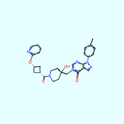 Cc1ccc(-n2ncc3c(=O)n(CC4(O)CCN(C(=O)[C@H]5C[C@@H](Oc6ccccn6)C5)CC4)cnc32)cc1